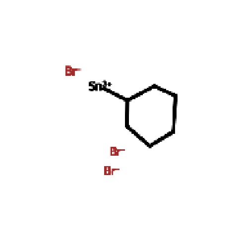 [Br-].[Br-].[Br-].[Sn+3][CH]1CCCCC1